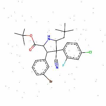 CC(C)(C)CC1NC(C(=O)OC(C)(C)C)C(c2cccc(Br)c2)C1(C#N)c1ccc(Cl)cc1F